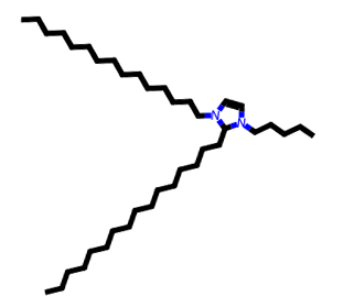 CCCCCCCCCCCCCCCCC1N(CCCCC)C=CN1CCCCCCCCCCCCCCC